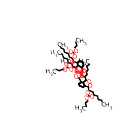 CCCCCCC(OC(=O)OCCCC)C(=O)c1cccc(C(=O)OOC(=O)c2cccc(C(=O)C(CCCCCC)OC(=O)OCCCC)c2C(=O)C(CCCCCC)OC(=O)OCCCC)c1C(=O)C(CCCCCC)OC(=O)OCCCC